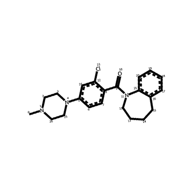 CN1CCN(c2ccc(C(=O)N3CCCCc4ccccc43)c(Cl)c2)CC1